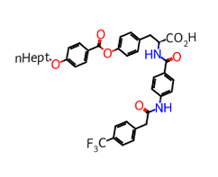 CCCCCCCOc1ccc(C(=O)Oc2ccc(C[C@H](NC(=O)c3ccc(NC(=O)Cc4ccc(C(F)(F)F)cc4)cc3)C(=O)O)cc2)cc1